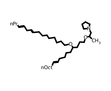 CCCC=CCC=CCCCCCCCCOC(CCCCC=CCCCCCCCC)CCCOC(C)CN1CCCC1